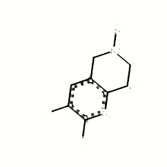 Fc1cc2c(nc1Cl)CCN(Br)C2